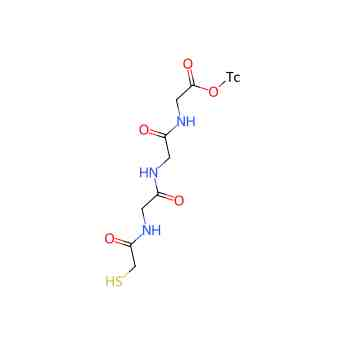 O=C(CS)NCC(=O)NCC(=O)NCC(=O)[O][Tc]